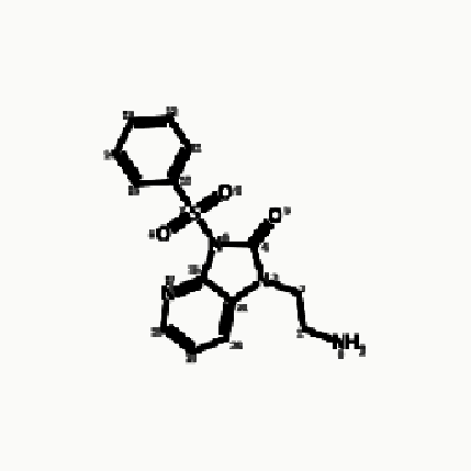 NCCn1c(=O)n(S(=O)(=O)c2ccccc2)c2ncccc21